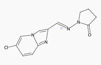 O=C1CCCN1/N=C/c1cn2cc(Cl)ccc2n1